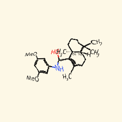 COc1cc(NC(O)C2=C(C)CC[C@H]3C(C)(C)CCC[C@]23C)cc(OC)c1